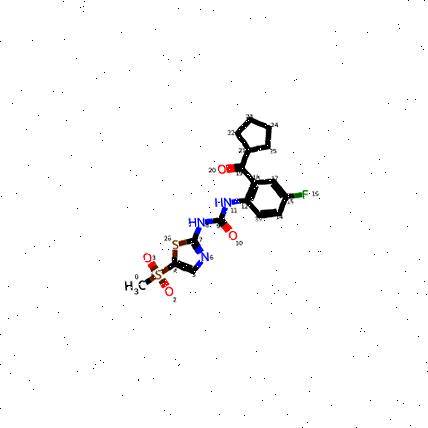 CS(=O)(=O)c1cnc(NC(=O)Nc2ccc(F)cc2C(=O)C2CCCC2)s1